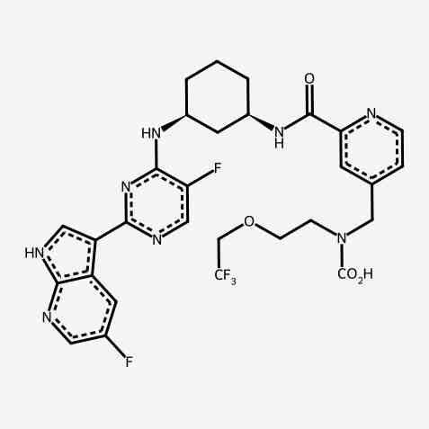 O=C(N[C@@H]1CCC[C@H](Nc2nc(-c3c[nH]c4ncc(F)cc34)ncc2F)C1)c1cc(CN(CCOCC(F)(F)F)C(=O)O)ccn1